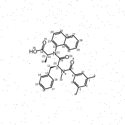 Cc1cc(C)cc(C(=O)N(C)[C@@H](Cc2ccccc2)C(=O)N(c2cccc3ccccc23)[C@@H](C)C(=O)O)c1